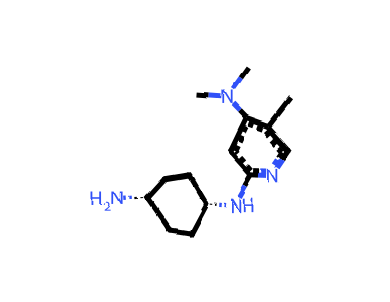 Cc1cnc(N[C@H]2CC[C@@H](N)CC2)cc1N(C)C